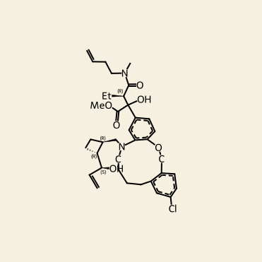 C=CCCN(C)C(=O)[C@H](CC)C(O)(C(=O)OC)c1ccc2c(c1)N(C[C@@H]1CC[C@H]1[C@@H](O)C=C)CCCCc1cc(Cl)ccc1CO2